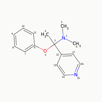 CN(C)C(C)(Oc1ccccc1)c1ccncc1